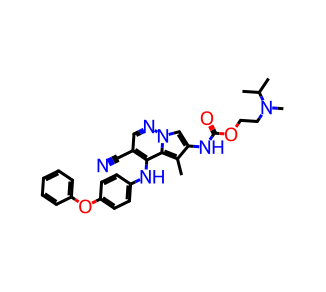 Cc1c(NC(=O)OCCN(C)C(C)C)cn2ncc(C#N)c(Nc3ccc(Oc4ccccc4)cc3)c12